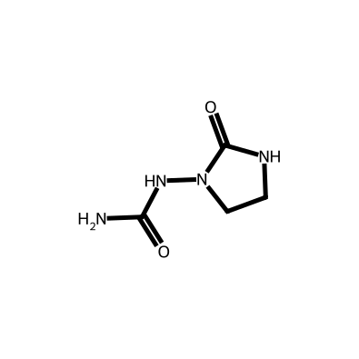 NC(=O)NN1CCNC1=O